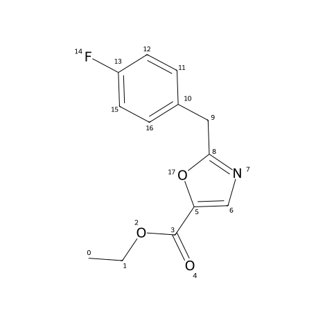 CCOC(=O)c1cnc(Cc2ccc(F)cc2)o1